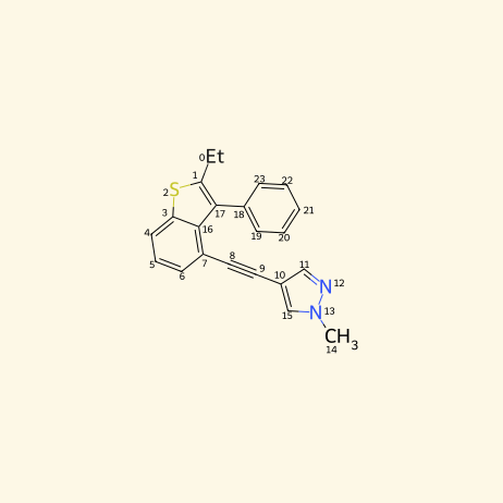 CCc1sc2cccc(C#Cc3cnn(C)c3)c2c1-c1ccccc1